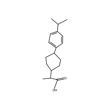 CC(C)c1ccc(C2CCC(C(C)C(=O)O)CC2)cc1